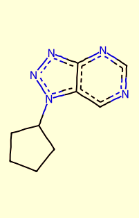 c1ncc2c(n1)nnn2C1CCCC1